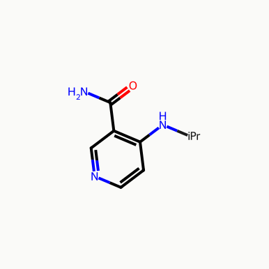 CC(C)Nc1ccncc1C(N)=O